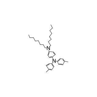 CCCCCCCCN(CCCCCCCC)c1ccc(N(c2ccc(C)cc2)c2ccc(C)cc2)cc1